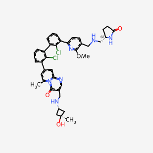 COc1nc(-c2cccc(-c3cccc(-c4cc(C)n5c(=O)c(CN[C@H]6C[C@](C)(O)C6)cnc5c4)c3Cl)c2Cl)ccc1CNC[C@@H]1CCC(=O)N1